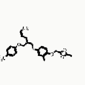 Cc1cc(SCC(C/C=C\C#N)COc2ccc(C(F)(F)F)cc2)ccc1OCC1OC(C)O1